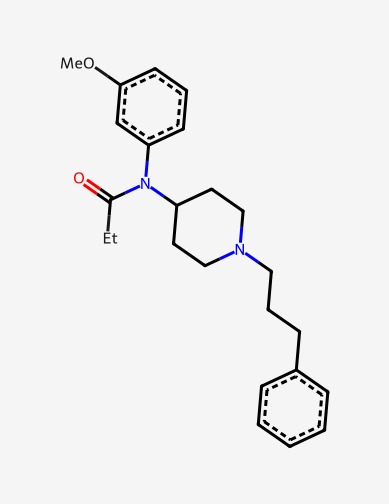 CCC(=O)N(c1cccc(OC)c1)C1CCN(CCCc2ccccc2)CC1